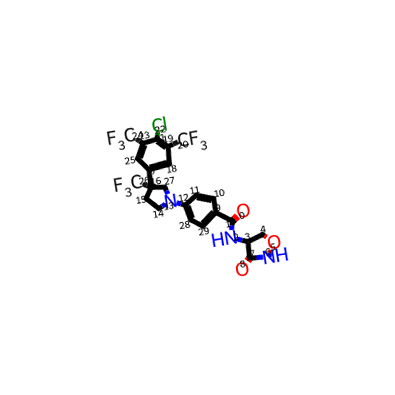 O=C(NC1CONC1=O)c1ccc(N2CCC(c3cc(C(F)(F)F)c(Cl)c(C(F)(F)F)c3)(C(F)(F)F)C2)cc1